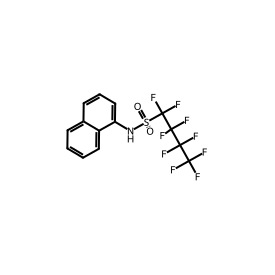 O=S(=O)(Nc1cccc2ccccc12)C(F)(F)C(F)(F)C(F)(F)C(F)(F)F